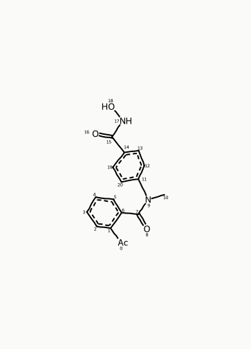 CC(=O)c1ccccc1C(=O)N(C)c1ccc(C(=O)NO)cc1